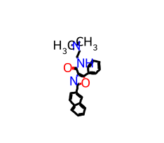 CN(C)CCNC(=O)c1nc(-c2ccc3ccccc3c2)oc1-c1ccccc1